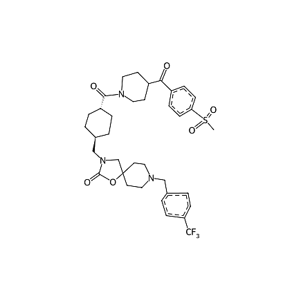 CS(=O)(=O)c1ccc(C(=O)C2CCN(C(=O)[C@H]3CC[C@H](CN4CC5(CCN(Cc6ccc(C(F)(F)F)cc6)CC5)OC4=O)CC3)CC2)cc1